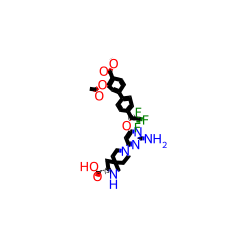 COC(=O)c1ccc(-c2ccc([C@@H](Oc3cc(N4CCC5(CC4)CN[C@H](C(=O)O)C5)nc(N)n3)C(F)(F)F)cc2)cc1OC(C)=O